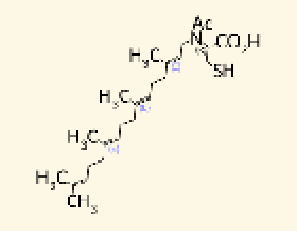 CC(=O)N(C/C=C(\C)CC/C=C(\C)CC/C=C(\C)CCC=C(C)C)[C@@H](CS)C(=O)O